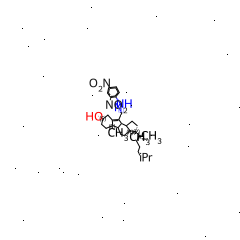 CC(C)CCC[C@@H](C)[C@H]1CCC2C3C(/C=N/Nc4ccc([N+](=O)[O-])cc4[N+](=O)[O-])=C4C[C@@H](O)CC[C@]4(C)C3CC[C@@]21C